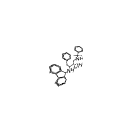 CC(C)(NC[C@@H](O)[C@H](Cc1ccccc1)NC1c2ccccc2-c2ccccc21)c1ccccc1